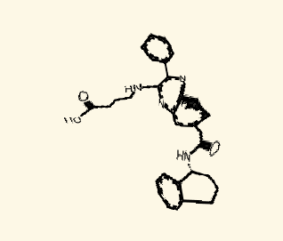 O=C(O)CCCNc1nc2cc(C(=O)N[C@@H]3CCCc4ccccc43)ccc2nc1-c1ccccc1